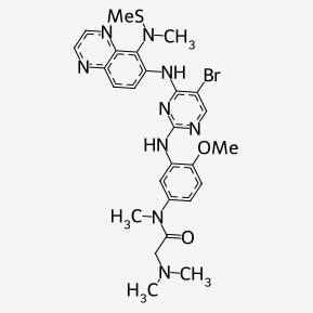 COc1ccc(N(C)C(=O)CN(C)C)cc1Nc1ncc(Br)c(Nc2ccc3nccnc3c2N(C)SC)n1